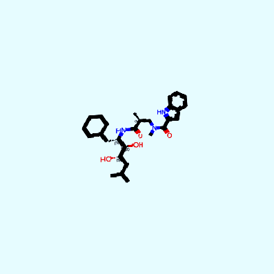 CC(C)C[C@H](O)[C@H](O)[C@H](CC1CCCCC1)NC(=O)[C@@H](C)CN(C)C(=O)c1cc2ccccc2[nH]1